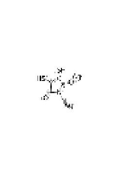 CN1C(=O)C(S)=C(S)C1=O.[Ag].[Ag]